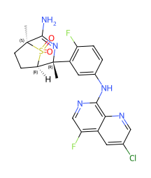 C[C@]12CC[C@H]([C@@](C)(c3cc(Nc4ncc(F)c5cc(Cl)cnc45)ccc3F)N=C1N)S2(=O)=O